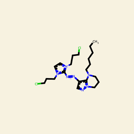 CCCCCCN1CCCn2ncc(/N=N/c3n(CCCCl)cc[n+]3CCCCl)c21